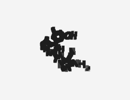 Cc1cc(O)cc(-c2nc([C@H](C)Nc3ncnc(N)c3C#N)nn3ccc(C)c23)c1